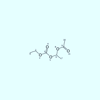 CCOC(=O)OC(C)OC(C)=O